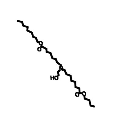 CCCCCCCCCOC(=O)CCCCCCCN(CCO)CCCCCCCC(=O)OCCCC